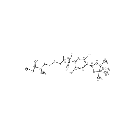 COC(=O)C(N)CCCCNS(=O)(=O)c1cc(F)c(B2OC(C)(C)C(C)(C)O2)cc1F